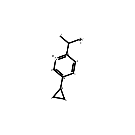 CC(C)C(C)c1ccc(C2CC2)cn1